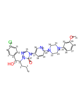 CCCC(C(O)c1ccc(Cl)cc1)n1ncn(-c2ccc(N3CCN(c4cccc(OC)c4)CC3)nc2)c1=O